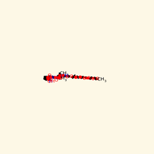 CCC(CC(C)C(=O)NCCNC(=O)C1=C(C(=O)O)CCCC1)C(=O)NCCOCCOCCOCCOCCOCCOCCOCCOC